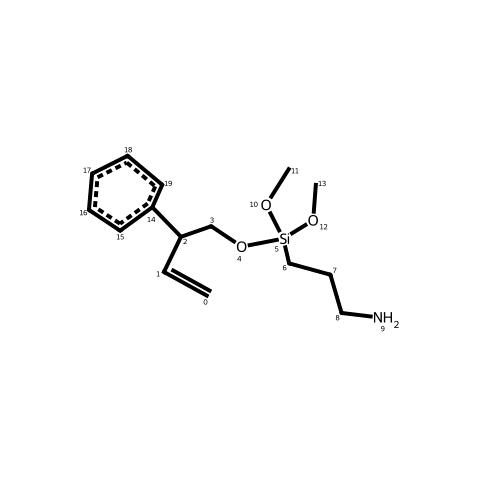 C=CC(CO[Si](CCCN)(OC)OC)c1ccccc1